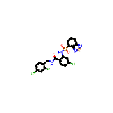 O=C(NCc1ccc(Cl)cc1F)c1ccc(Cl)cc1NS(=O)(=O)c1cccc2nsnc12